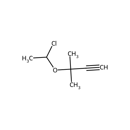 C#CC(C)(C)OC(C)Cl